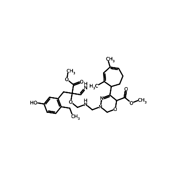 CCc1ccc(O)cc1CC(C=N)(OCNCN1COC(C(=O)OC)C(C2CCC=C(C)C=C2C)=N1)C(=O)OC